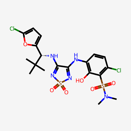 CN(C)S(=O)(=O)c1c(Cl)ccc(NC2=NS(=O)(=O)N=C2N[C@@H](c2ccc(Cl)o2)C(C)(C)C)c1O